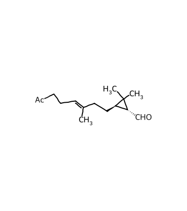 CC(=O)CC/C=C(\C)CC[C@@H]1[C@@H](C=O)C1(C)C